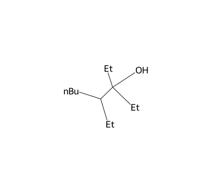 CCCCC(CC)C(O)(CC)CC